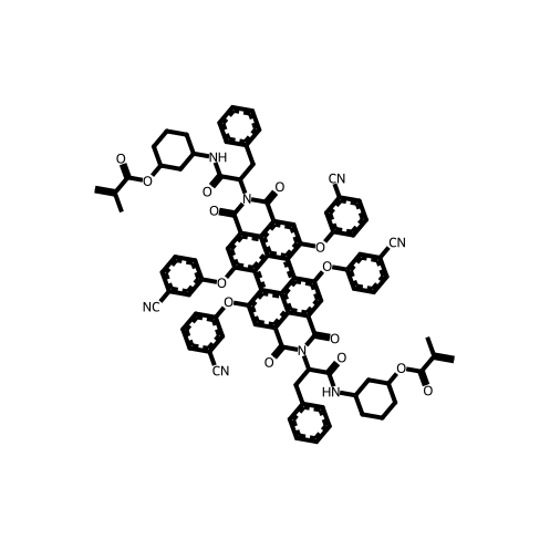 C=C(C)C(=O)OC1CCCC(NC(=O)C(Cc2ccccc2)N2C(=O)c3cc(Oc4cccc(C#N)c4)c4c5c(Oc6cccc(C#N)c6)cc6c7c(cc(Oc8cccc(C#N)c8)c(c8c(Oc9cccc(C#N)c9)cc(c3c48)C2=O)c75)C(=O)N(C(Cc2ccccc2)C(=O)NC2CCCC(OC(=O)C(=C)C)C2)C6=O)C1